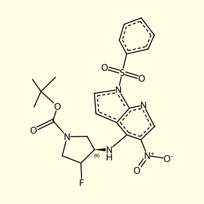 CC(C)(C)OC(=O)N1CC(F)[C@H](Nc2c([N+](=O)[O-])cnc3c2ccn3S(=O)(=O)c2ccccc2)C1